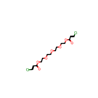 O=C(C=CCl)OCCOCCOCCOCCOC(=O)C=CCl